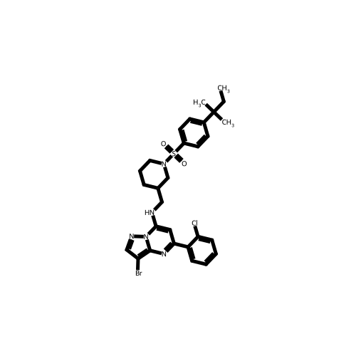 CCC(C)(C)c1ccc(S(=O)(=O)N2CCCC(CNc3cc(-c4ccccc4Cl)nc4c(Br)cnn34)C2)cc1